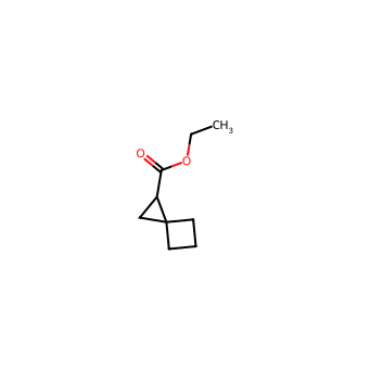 CCOC(=O)C1CC12CCC2